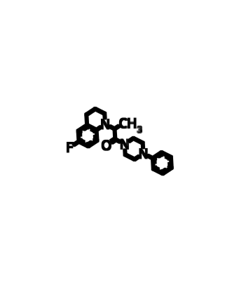 CC(C(=O)N1CCN(c2ccccc2)CC1)N1CCCc2cc(F)ccc21